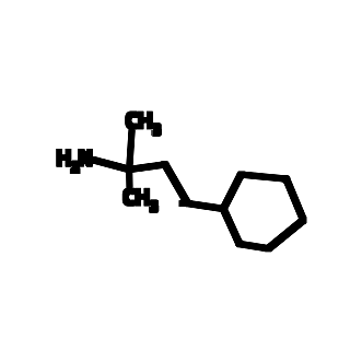 CC(C)(N)C[CH]C1CCCCC1